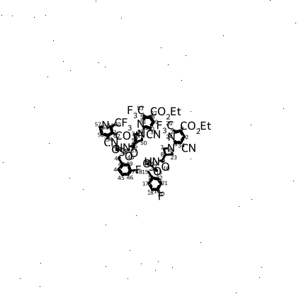 CCOC(=O)c1cc(C#N)c(N2CC(C(=O)NS(=O)(=O)Cc3ccc(F)cc3)C2)nc1C(F)(F)F.CCOC(=O)c1cc(C#N)c(N2CC(C(=O)NS(=O)(=O)Cc3cccc(F)c3)C2)nc1C(F)(F)F.N#Cc1ccnc(C(F)(F)F)c1C(=O)O